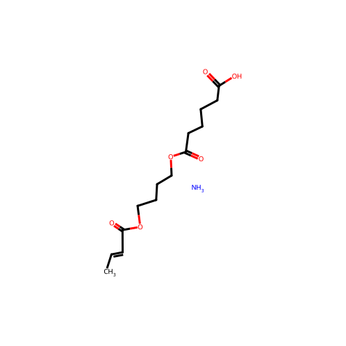 CC=CC(=O)OCCCCOC(=O)CCCCC(=O)O.N